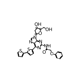 O=C(COc1ccccc1)Nc1nc(-c2ccc(-c3cccs3)s2)c2ncn([C@H]3C[C@H](O)[C@@H](CO)O3)c2n1